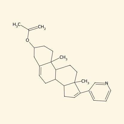 C=C(C)OC1CCC2(C)C(=CCC3C2CCC2(C)C(c4cccnc4)=CCC32)C1